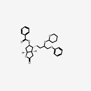 O=C1C[C@@H]2[C@@H](CCC(COc3ccccc3)OC3CCCCO3)[C@H](OC(=O)c3ccccc3)C[C@@H]2O1